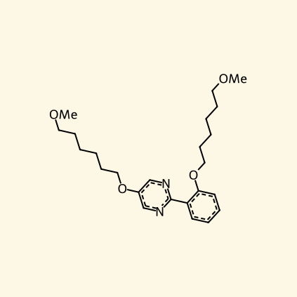 COCCCCCCOc1cnc(-c2ccccc2OCCCCCCOC)nc1